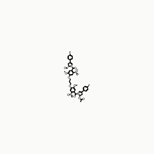 COc1cc(C(=O)N2C=C(c3ccc(F)cc3)C[C@H]2C=O)c([N+](=O)[O-])cc1OCCCOc1cc([N+](=O)[O-])c(C(=O)N2C=C(c3ccc(F)cc3)C[C@H]2OC(C)=O)cc1OC